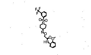 COc1ccccc1NC(=O)CON=C1CCN(S(=O)(=O)c2cccc(C(F)(F)F)c2)CC1